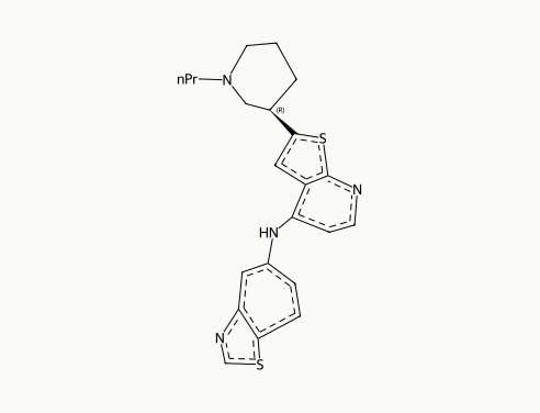 CCCN1CCC[C@@H](c2cc3c(Nc4ccc5scnc5c4)ccnc3s2)C1